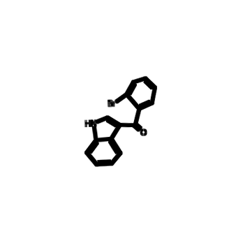 O=C(c1ccccc1Br)c1c[nH]c2ccccc12